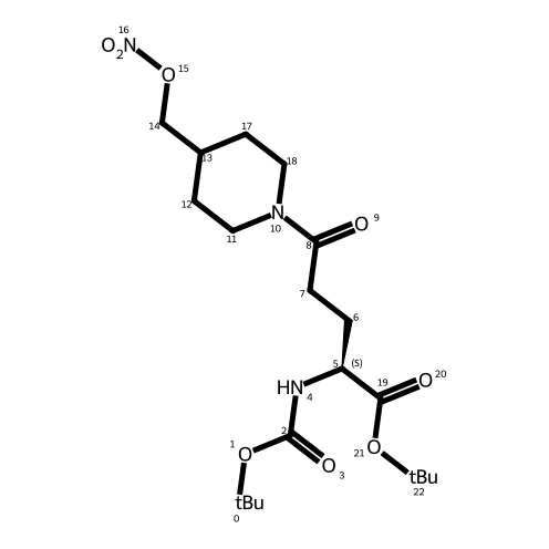 CC(C)(C)OC(=O)N[C@@H](CCC(=O)N1CCC(CO[N+](=O)[O-])CC1)C(=O)OC(C)(C)C